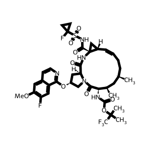 COc1cc2ccnc(O[C@@H]3C[C@H]4C(=O)N[C@]5(C(=O)NS(=O)(=O)C6(F)CC6)C[C@@H]5/C=C\CC[C@@H](C)C[C@@H](C)[C@H](NC(=O)OC(C)(C)C(F)(F)F)C(=O)N4C3)c2cc1F